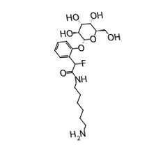 NCCCCCCNC(=O)C(F)c1ccccc1O[C@H]1O[C@H](CO)[C@@H](O)[C@@H](O)[C@@H]1O